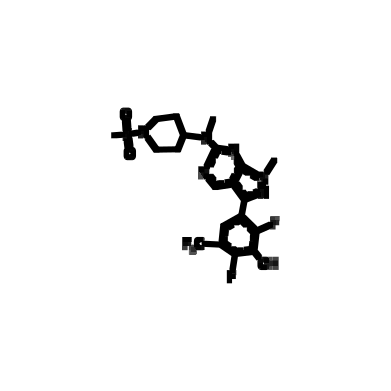 CN(c1ncc2c(-c3cc(C(F)(F)F)c(F)c(O)c3F)nn(C)c2n1)C1CCN(S(C)(=O)=O)CC1